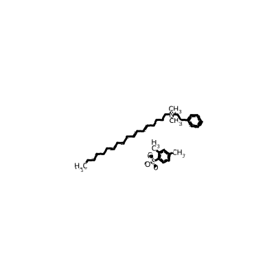 CCCCCCCCCCCCCCCCCC[N+](C)(C)CCc1ccccc1.Cc1ccc(S(=O)(=O)[O-])c(C)c1